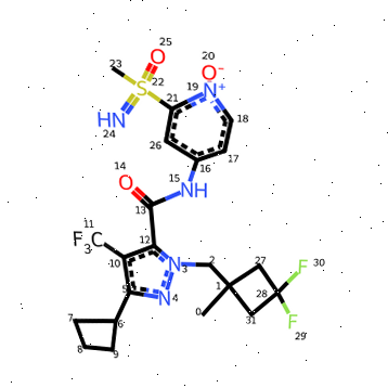 CC1(Cn2nc(C3CCC3)c(C(F)(F)F)c2C(=O)Nc2cc[n+]([O-])c(S(C)(=N)=O)c2)CC(F)(F)C1